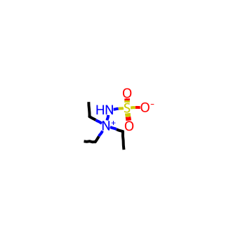 CC[N+](CC)(CC)NS(=O)(=O)[O-]